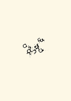 Cc1cc2c(cnn2C2CCCCO2)c(-c2nccc3c4c(N5CCC[C@@](C)(O)C5)nc(OC[C@@]56CCCN5C[C@H](F)C6)nc4n(C)c23)c1C(F)(F)F